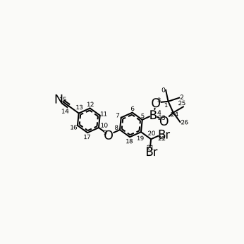 CC1(C)OB(c2ccc(Oc3ccc(C#N)cc3)cc2C(Br)Br)OC1(C)C